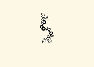 CC(C)Oc1cccc(C2=CCc3ccc(-c4nnc(N5CC[C@@H](NC(=O)OC(C)(C)C)C5)s4)cc32)n1